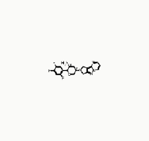 N[C@H]1C[C@@H](N2Cc3nn4cccnc4c3C2)COC1c1cc(F)c(F)cc1F